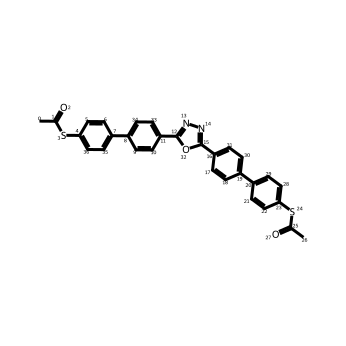 CC(=O)Sc1ccc(-c2ccc(-c3nnc(-c4ccc(-c5ccc(SC(C)=O)cc5)cc4)o3)cc2)cc1